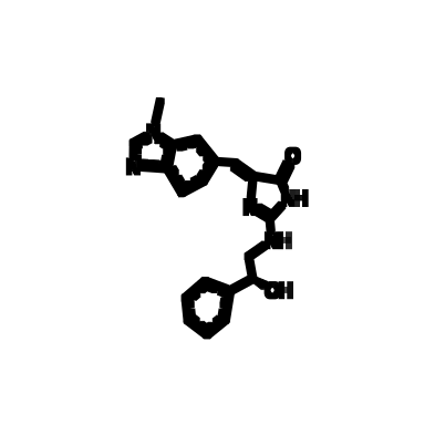 Cn1cnc2ccc(/C=C3\N=C(NC[C@@H](O)c4ccccc4)NC3=O)cc21